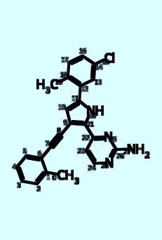 Cc1ccccc1C#Cc1cc(-c2cc(Cl)ccc2C)[nH]c1-c1ccnc(N)n1